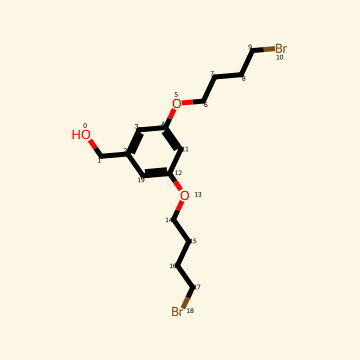 OCc1cc(OCCCCBr)cc(OCCCCBr)c1